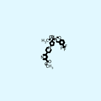 COC(=O)c1cncc(C2CCN([C@@H]3CC[C@@](C(=O)N4COc5ccc(C(F)(F)F)cc5C4)(C(C)C)C3)CC2)c1